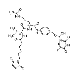 CC(C)[C@H](NC(=O)CCCCCN1C(=O)C=CC1=O)C(=O)N[C@@H](CCCNC(N)=O)C(=O)Nc1ccc(COC(O)n2cc(F)c(=O)[nH]c2=O)cc1